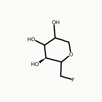 OC1COC(CF)[C@@H](O)C1O